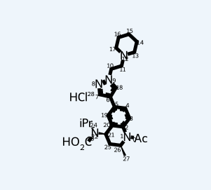 CC(=O)N1c2ccc(-c3cnn(CCN4CCCCC4)c3)cc2[C@H](N(C(=O)O)C(C)C)C[C@@H]1C.Cl